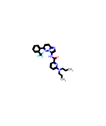 CCCN(CCC)c1cccc(C(=O)Nc2cnc3ccc(-c4ccccc4C(F)(F)F)nn23)n1